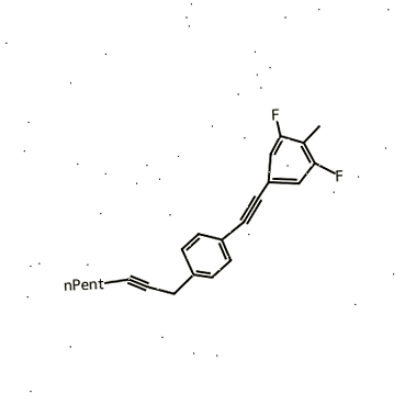 CCCCCC#CCc1ccc(C#Cc2cc(F)c(C)c(F)c2)cc1